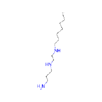 [CH2]CCCCCCNCCNCCCN